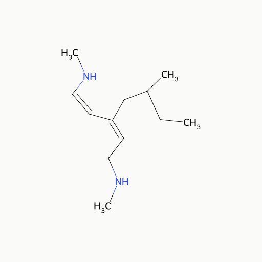 CCC(C)CC(/C=C\NC)=C/CNC